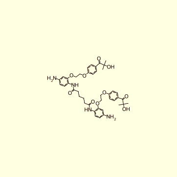 CC(C)(O)C(=O)c1ccc(OCCOc2cc(N)ccc2NC(=O)CCCCC(=O)Nc2ccc(N)cc2OCCOc2ccc(C(=O)C(C)(C)O)cc2)cc1